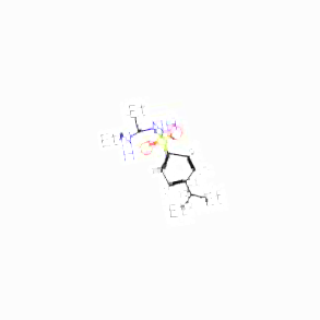 CCNC(CC)NS(=O)(=O)c1ccc(C(CC)CC)cc1